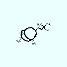 CCC[C@]12/C=C\C(OCC(C)(C)C#N)CCC(/C=C\[C@@H](C)CC1)CCC2